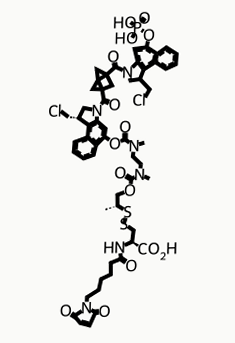 C[C@H](COC(=O)N(C)CCN(C)C(=O)Oc1cc2c(c3ccccc13)[C@H](CCl)CN2C(=O)C12CC3(C(=O)N4CC(CCl)c5c4cc(OP(=O)(O)O)c4ccccc54)CC31C2)SSC[C@H](NC(=O)CCCCCN1C(=O)C=CC1=O)C(=O)O